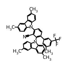 Cc1cc(-c2ccc(-n3c4ccc(C)cc4c4cc(C)ccc43)c(C#N)c2-n2c3ccc(C)cc3c3cc(C)ccc32)cc(C(F)(F)F)c1